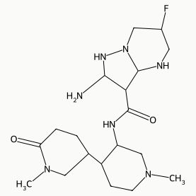 CN1CCC(C2CCC(=O)N(C)C2)C(NC(=O)C2C(N)NN3CC(F)CNC23)C1